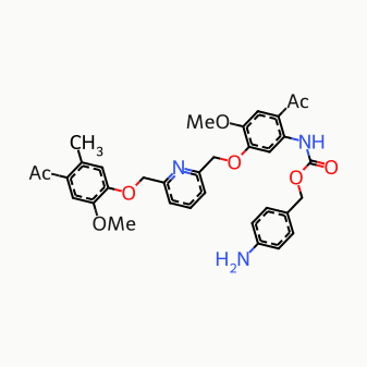 COc1cc(C(C)=O)c(C)cc1OCc1cccc(COc2cc(NC(=O)OCc3ccc(N)cc3)c(C(C)=O)cc2OC)n1